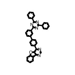 c1ccc(-c2nc(-c3ccccc3)nc(-c3cccc(-c4ccc(-c5ncnc6c5oc5ccccc56)cc4)c3)n2)cc1